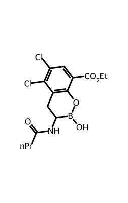 CCCC(=O)NC1Cc2c(Cl)c(Cl)cc(C(=O)OCC)c2OB1O